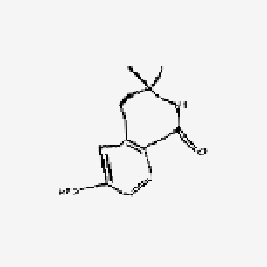 CC1(C)Cc2cc(O)ccc2C(=O)N1